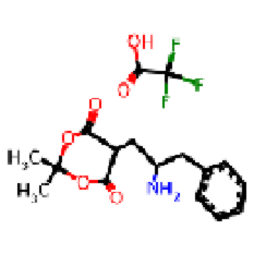 CC1(C)OC(=O)C(CC(N)Cc2ccccc2)C(=O)O1.O=C(O)C(F)(F)F